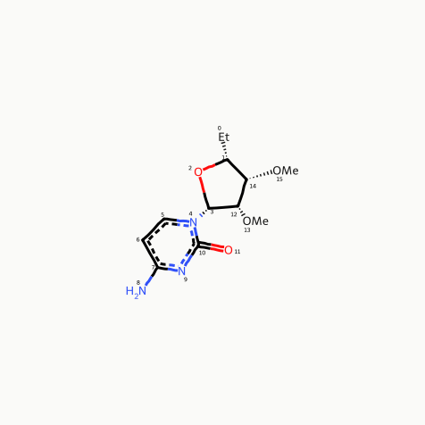 CC[C@H]1O[C@@H](n2ccc(N)nc2=O)[C@@H](OC)[C@H]1OC